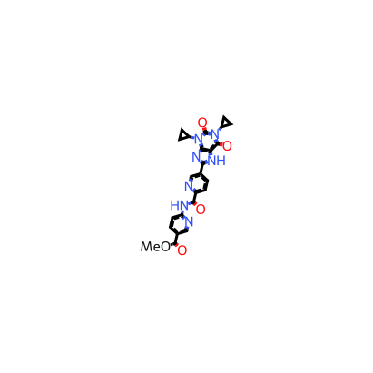 COC(=O)c1ccc(NC(=O)c2ccc(-c3nc4c([nH]3)c(=O)n(C3CC3)c(=O)n4C3CC3)cn2)nc1